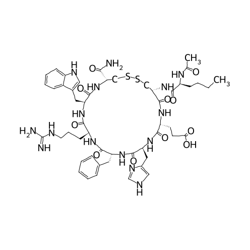 CCCC[C@H](NC(C)=O)C(=O)N[C@H]1CSSC[C@@H](C(N)=O)NC(=O)[C@H](Cc2c[nH]c3ccccc23)NC(=O)[C@H](CCCNC(=N)N)NC(=O)[C@@H](Cc2ccccc2)NC(=O)[C@H](Cc2c[nH]cn2)NC(=O)[C@@H](CCC(=O)O)NC1=O